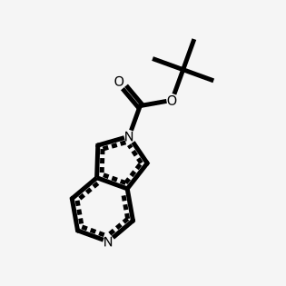 CC(C)(C)OC(=O)n1cc2ccncc2c1